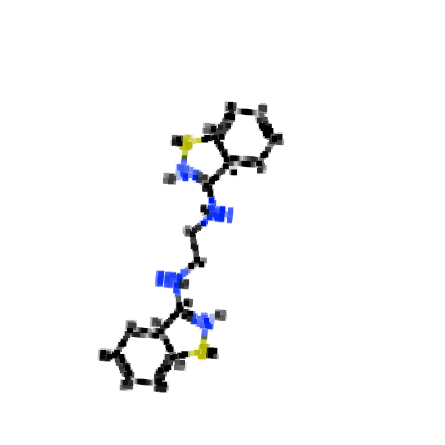 c1ccc2c(NCCNc3nsc4ccccc34)nsc2c1